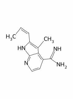 C/C=C\c1[nH]c2nccc(C(=N)N)c2c1C